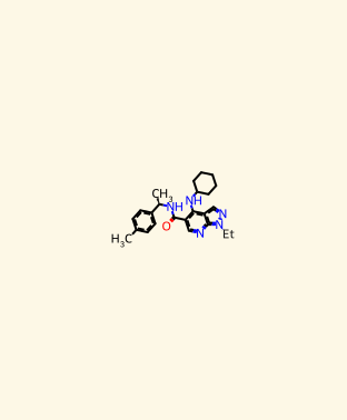 CCn1ncc2c(NC3CCCCC3)c(C(=O)N[C@H](C)c3ccc(C)cc3)cnc21